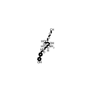 C#CCOCCOCCO[C@]1(C(=O)O)C[C@H](O)[C@@H](N)[C@H]([C@H](O)[C@H](O)CNC(=O)Cc2ccc(-c3ccc(O)cc3)cc2)O1